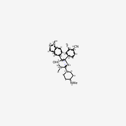 CNC1CCN(/C(=N/C(=C(\C=O)c2ccc3c(cnn3C)c2)c2ccc(C#N)c(F)c2)N(C)C)CC1